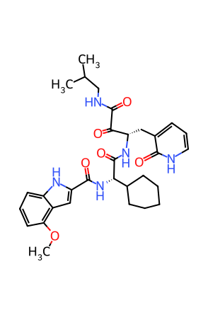 COc1cccc2[nH]c(C(=O)N[C@H](C(=O)N[C@@H](Cc3ccc[nH]c3=O)C(=O)C(=O)NCC(C)C)C3CCCCC3)cc12